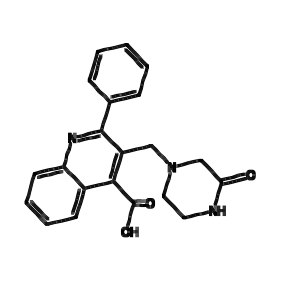 O=C1CN(Cc2c(-c3ccccc3)nc3ccccc3c2C(=O)O)CCN1